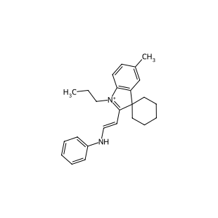 CCC[N+]1=C(/C=C/Nc2ccccc2)C2(CCCCC2)c2cc(C)ccc21